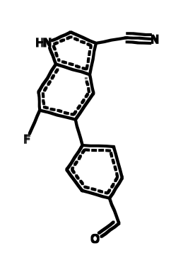 N#Cc1c[nH]c2cc(F)c(-c3ccc(C=O)cc3)cc12